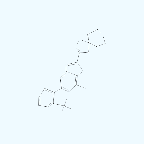 Nc1cc(-c2ccccc2C(F)(F)F)cc2nc(C3=NOC4(CCOCC4)C3)[nH]c12